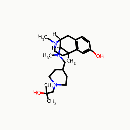 CN1CC[C@@]2(C)c3cc(O)ccc3C[C@@H]1[C@@H]2N(C)CC1CCN(CC(C)(C)O)CC1